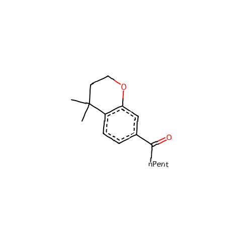 CCCCCC(=O)c1ccc2c(c1)OCCC2(C)C